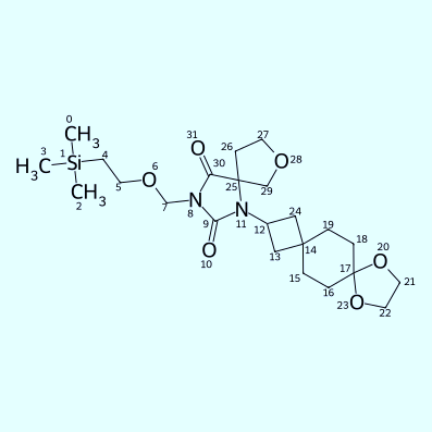 C[Si](C)(C)CCOCN1C(=O)N(C2CC3(CCC4(CC3)OCCO4)C2)C2(CCOC2)C1=O